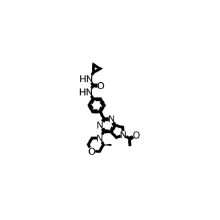 CC(=O)N1Cc2nc(-c3ccc(NC(=O)NC4CC4)cc3)nc(N3CCOC[C@@H]3C)c2C1